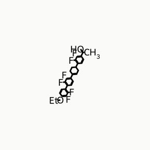 CCOc1ccc(-c2ccc(C3=CCC(c4ccc(C(C)O)c(F)c4F)CC3)c(F)c2F)c(F)c1F